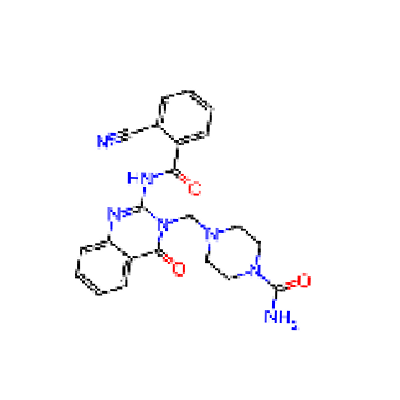 N#Cc1ccccc1C(=O)Nc1nc2ccccc2c(=O)n1CN1CCN(C(N)=O)CC1